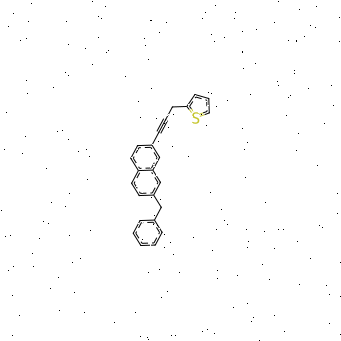 C(#Cc1ccc2ccc(Cc3ccccc3)cc2c1)Cc1cccs1